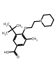 Cc1cc(C(=O)O)cc(C(C)(C)C)c1OCCN1CCCCC1